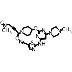 CN(C)CC#CC(=O)N1CCC(Oc2nc(Nc3ncc(C#N)s3)cc(N3CCN(C)CC3)n2)CC1